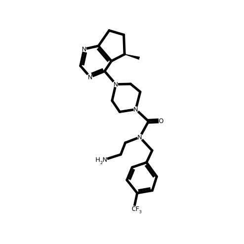 C[C@@H]1CCc2ncnc(N3CCN(C(=O)N(CCN)Cc4ccc(C(F)(F)F)cc4)CC3)c21